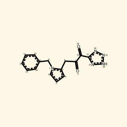 O=C(Cc1cccn1Cc1ccccc1)C(=O)c1nn[nH]n1